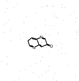 O=C1C=NC2=CCC=NC2=C1